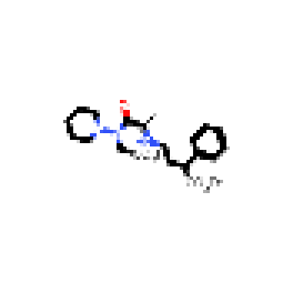 CCOC(=O)C(CCN[C@@H](C)C(=O)N(CC(=O)O)N1CCCCC1)c1ccccc1